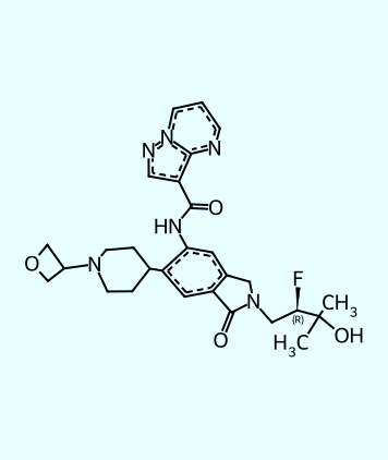 CC(C)(O)[C@H](F)CN1Cc2cc(NC(=O)c3cnn4cccnc34)c(C3CCN(C4COC4)CC3)cc2C1=O